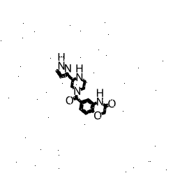 O=C1COc2ccc(C(=O)N3CCNC(c4cc[nH]n4)C3)cc2N1